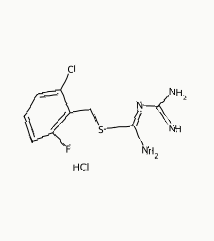 Cl.N=C(N)N=C(N)SCc1c(F)cccc1Cl